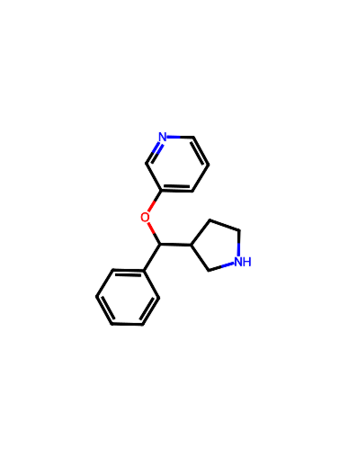 c1ccc(C(Oc2cccnc2)C2CCNC2)cc1